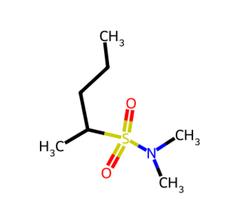 CCCC(C)S(=O)(=O)N(C)C